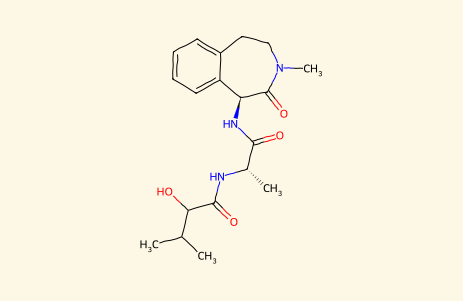 CC(C)C(O)C(=O)N[C@@H](C)C(=O)N[C@@H]1C(=O)N(C)CCc2ccccc21